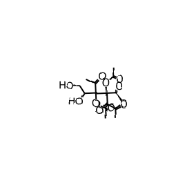 CC(=O)OC(C(C)=O)(C(O)CO)[C@](OC(C)=O)(C(C)=O)C(=O)C(C)=O